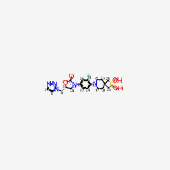 O=C1O[C@@H](Cn2ccnn2)CN1c1ccc(N2CCC3(CC2)CS(O)(O)C3)c(F)c1